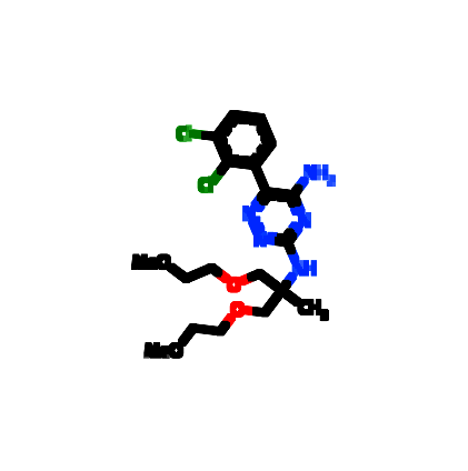 COCCOCC(C)(COCCOC)Nc1nnc(-c2cccc(Cl)c2Cl)c(N)n1